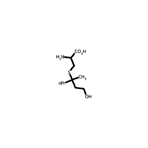 CCCC(C)(CCO)SCC(N)C(=O)O